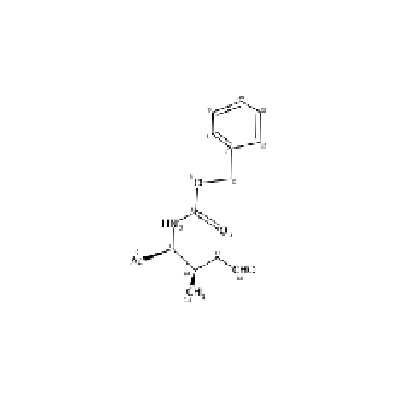 CC(=O)[C@@H](NC(=O)OCc1ccccc1)[C@H](C)CC=O